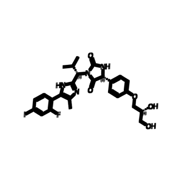 Cc1nc([C@H](C(C)C)N2C(=O)N[C@H](c3ccc(OC[C@H](O)CO)cc3)C2=O)[nH]c1-c1ccc(I)cc1F